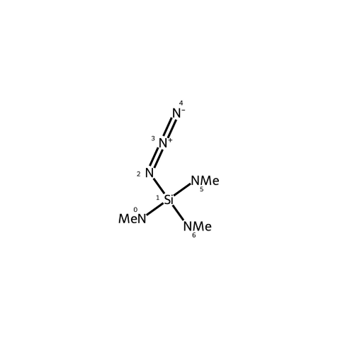 CN[Si](N=[N+]=[N-])(NC)NC